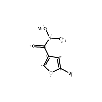 CON(C)C(=O)c1coc(Br)c1